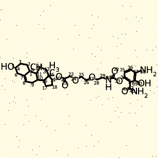 C[C@@]12CC[C@@H](O)CC1=CCC1C2CC[C@]2(C)C1CC[C@H]2OC(=O)COCCOCCNC(=O)Oc1ccc(N)c(O)c1C(N)=O